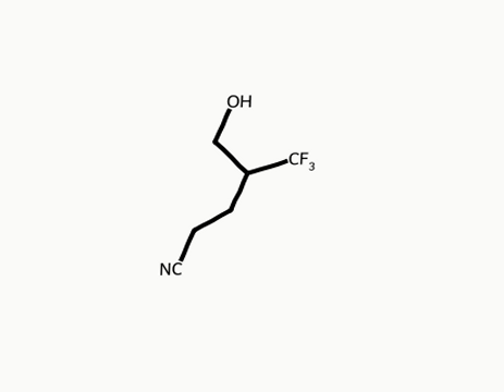 N#CCCC(CO)C(F)(F)F